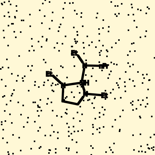 CCCN(CC)[SiH]1N(CC)CCN1CC